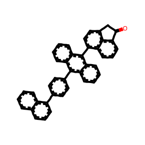 O=C1Cc2ccc(-c3c4ccccc4c(-c4ccc(-c5cccc6ccccc56)cc4)c4ccccc34)c3cccc1c23